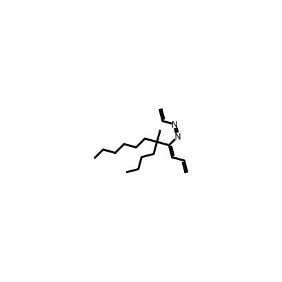 C=C/C=C(\N=N/C=C)C(C)(CCCC)CCCCCC